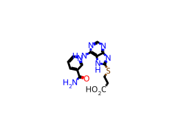 NC(=O)c1cccnc1.Nc1ncnc2nc(SCCC(=O)O)[nH]c12